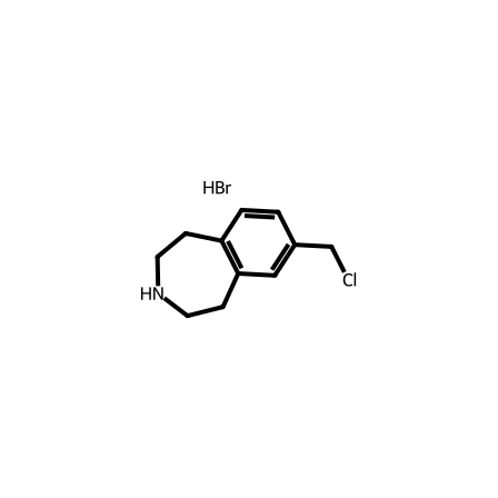 Br.ClCc1ccc2c(c1)CCNCC2